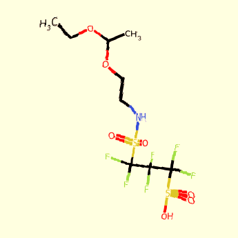 CCOC(C)OCCNS(=O)(=O)C(F)(F)C(F)(F)C(F)(F)S(=O)(=O)O